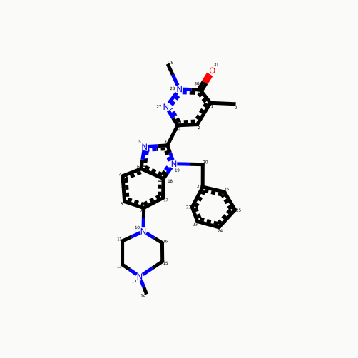 Cc1cc(-c2nc3ccc(N4CCN(C)CC4)cc3n2Cc2ccccc2)nn(C)c1=O